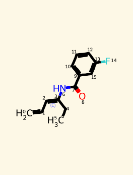 C=C/C=C(\CC)NC(=O)c1cccc(F)c1